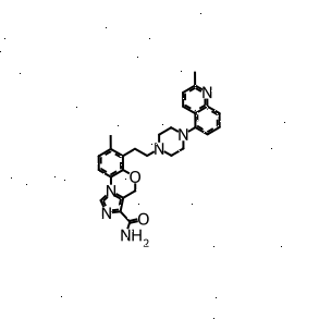 Cc1ccc2c(N3CCN(CCc4c(C)ccc5c4OCc4c(C(N)=O)ncn4-5)CC3)cccc2n1